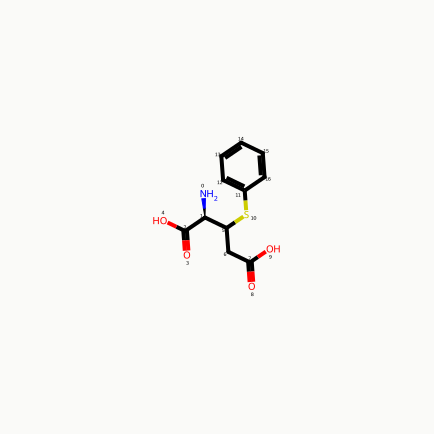 N[C@H](C(=O)O)C(CC(=O)O)Sc1ccccc1